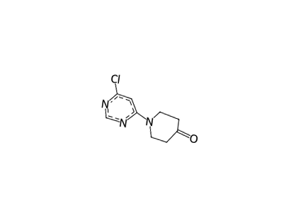 O=C1CCN(c2cc(Cl)ncn2)CC1